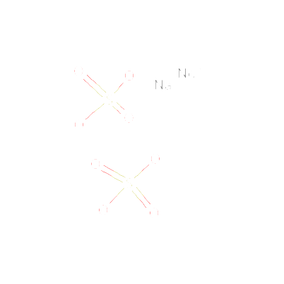 O=S(=O)([O-])[O-].O=S(=O)([O-])[O-].[Na+].[Nd+3]